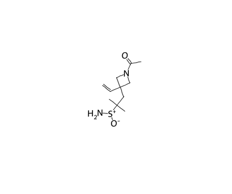 C=CC1(CC(C)(C)[S+](N)[O-])CN(C(C)=O)C1